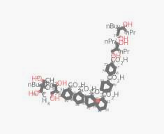 CCCC(O)C(CC)CO.CCCC(O)C(CO)CCC.CCCCC(C)(C(C)O)C(C)O.CCCCC(CO)C(O)CCC.O=C(O)c1ccccc1.O=C(O)c1ccccc1.O=C(O)c1ccccc1.O=C(O)c1ccccc1.O=C(O)c1ccccc1.O=C(O)c1ccccc1